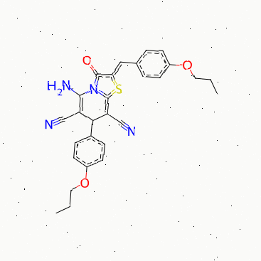 CCCOc1ccc(C=c2sc3n(c2=O)C(N)=C(C#N)C(c2ccc(OCCC)cc2)C=3C#N)cc1